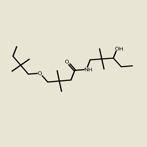 CCC(O)C(C)(C)CNC(=O)CC(C)(C)COCC(C)(C)CC